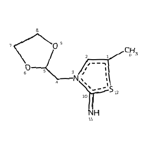 Cc1cn(CC2OCCO2)c(=N)s1